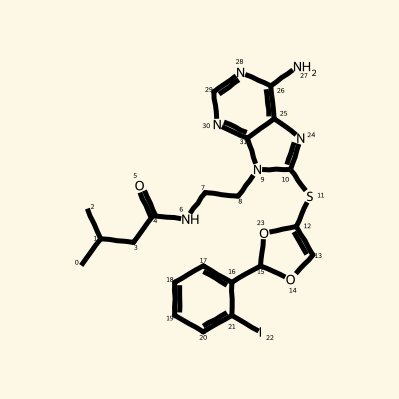 CC(C)CC(=O)NCCn1c(SC2=COC(c3ccccc3I)O2)nc2c(N)ncnc21